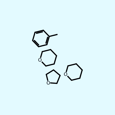 C1CCOC1.C1CCOCC1.C1CCOCC1.Cc1ccccc1